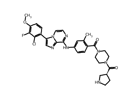 COc1ccc(-c2cnc3c(Nc4ccc(C(=O)N5CCN(C(=O)[C@H]6CCNC6)CC5)c(C)c4)nccn23)c(Cl)c1F